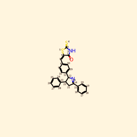 O=C1NC(=S)S/C1=C/c1ccc(C2N=C(c3ccccc3)CC2c2ccccc2)cc1